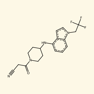 N#CCC(=O)N1CCC(Nc2cccc3c2ccn3CC(F)(F)F)CC1